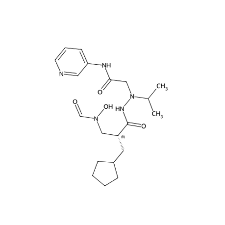 CC(C)N(CC(=O)Nc1cccnc1)NC(=O)[C@H](CC1CCCC1)CN(O)C=O